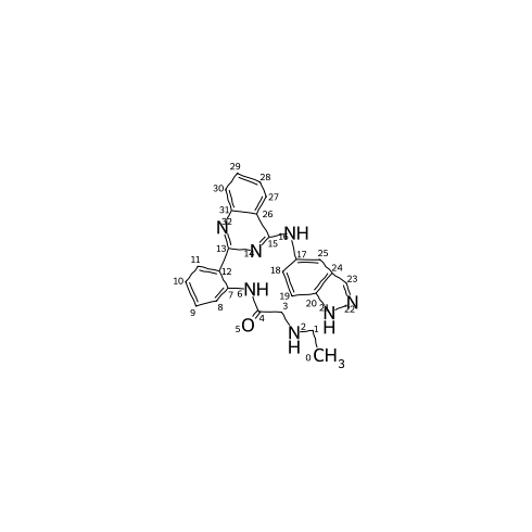 CCNCC(=O)Nc1ccccc1-c1nc(Nc2ccc3[nH]ncc3c2)c2ccccc2n1